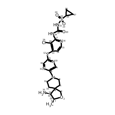 C[C@@H]1OCC2(CCN(c3cnc(Sc4ccnc(NC(=O)NS(=O)(=O)C5CC5)c4Cl)cn3)CC2)[C@@H]1N